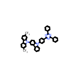 FC(F)(F)c1ccc2c3ccc(C(F)(F)F)cc3n(-c3ccc4c(c3)c3ccccc3n4-c3ccc(-c4nc(-c5ccccc5)nc(-c5ccccc5)n4)cc3)c2c1